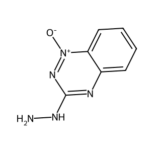 NNc1nc2ccccc2[n+]([O-])n1